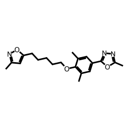 Cc1cc(CCCCCOc2c(C)cc(-c3nnc(C)o3)cc2C)on1